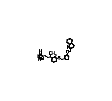 CC(CCc1nnn[nH]1)c1cccc(SCc2cccc(OCc3ccc4ccccc4n3)c2)c1